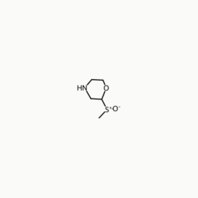 C[S+]([O-])C1CNCCO1